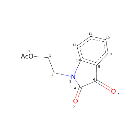 CC(=O)OCCN1C(=O)C(=O)c2ccccc21